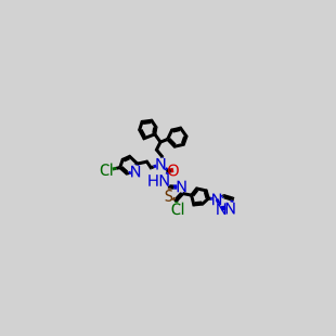 O=C(Nc1nc(-c2ccc(-n3ccnn3)cc2)c(Cl)s1)N(CCc1ccc(Cl)cn1)CCC(c1ccccc1)c1ccccc1